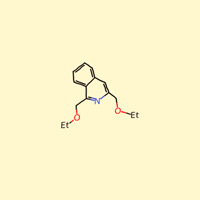 CCOCc1cc2ccccc2c(COCC)n1